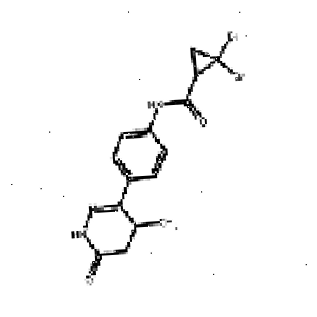 CC1CC(=O)NN=C1c1ccc(NC(=O)C2CC2(Br)Br)cc1